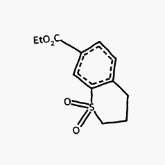 CCOC(=O)c1ccc2c(c1)S(=O)(=O)CCC2